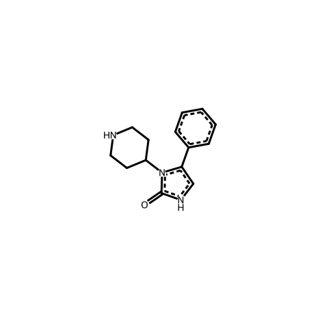 O=c1[nH]cc(-c2ccccc2)n1C1CCNCC1